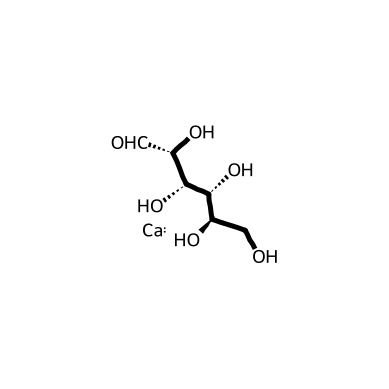 O=C[C@H](O)[C@@H](O)[C@H](O)[C@H](O)CO.[Ca]